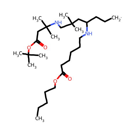 [CH2]CCC(CC(C)(C)CNC(C)(C)CC(=O)OC(C)(C)C)NCCCCCC(=O)OCCCCC